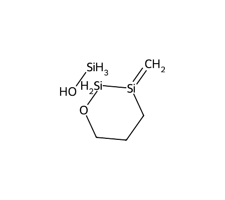 C=[Si]1CCCO[SiH2]1.O[SiH3]